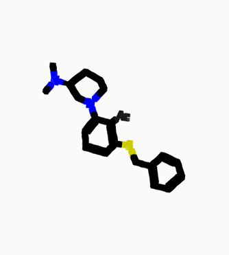 CC(=O)c1c(SCc2ccccc2)cccc1N1CCC[C@H](N(C)C)C1